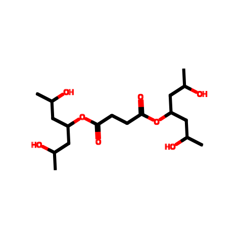 CC(O)CC(CC(C)O)OC(=O)CCC(=O)OC(CC(C)O)CC(C)O